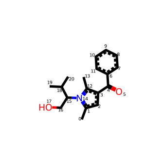 Cc1cc(C(=O)c2ccccc2)c(C)n1C(CO)C(C)C